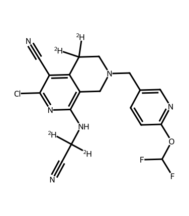 [2H]C([2H])(C#N)Nc1nc(Cl)c(C#N)c2c1CN(Cc1ccc(OC(F)F)nc1)CC2([2H])[2H]